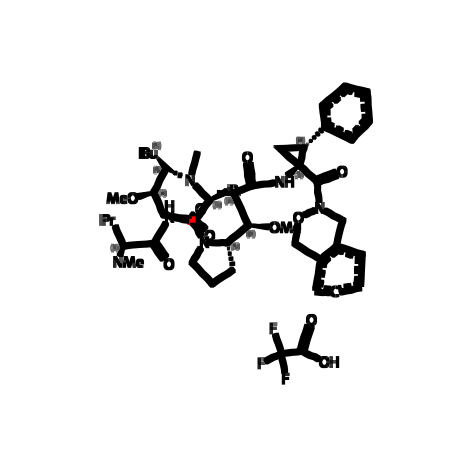 CC[C@H](C)[C@@H]([C@@H](CC(=O)N1CCC[C@H]1[C@H](OC)[C@@H](C)C(=O)N[C@@]1(C(=O)N2Cc3ccccc3CO2)C[C@@H]1c1ccccc1)OC)N(C)[C@H](C(=O)NC(=O)[C@@H](NC)C(C)C)C(C)C.O=C(O)C(F)(F)F